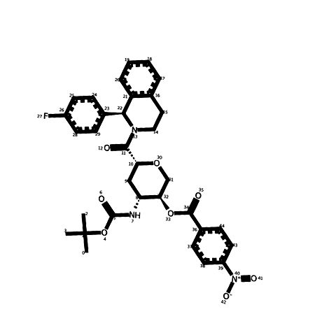 CC(C)(C)OC(=O)N[C@@H]1C[C@H](C(=O)N2CCc3ccccc3[C@@H]2c2ccc(F)cc2)OC[C@H]1OC(=O)c1ccc([N+](=O)[O-])cc1